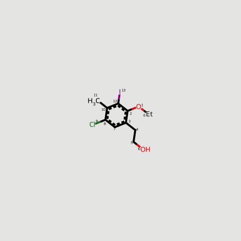 CCOc1c(CCO)cc(Cl)c(C)c1I